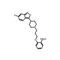 CNc1ccccc1OCCCN1CCC(c2onc3cc(F)ccc23)CC1